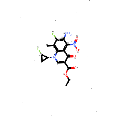 CCOC(=O)c1cn([C@@H]2C[C@H]2F)c2c(C)c(F)c(N)c([N+](=O)[O-])c2c1=O